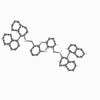 c1cc(COc2ccc3ccccc3c2-c2cccc3ccccc23)c2c(c1)Sc1c(COc3ccc4ccccc4c3-c3cccc4ccccc34)cccc1S2